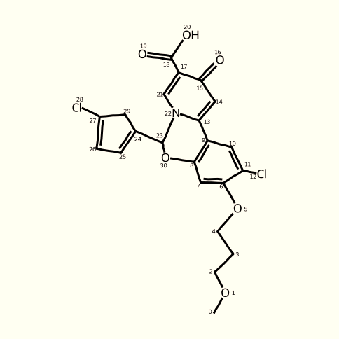 COCCCOc1cc2c(cc1Cl)-c1cc(=O)c(C(=O)O)cn1C(C1=CC=C(Cl)C1)O2